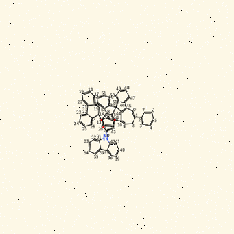 C1=C(c2ccccc2)CC=C(c2cc(C3Cc4ccccc4-c4ccccc43)cc(-n3c4ccccc4c4ccccc43)c2)C2=C1c1ccccc1C2(c1ccccc1)c1ccccc1